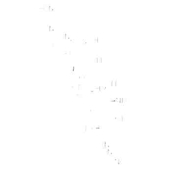 [N-]=[N+]=NC[C@@H](O)[C@@H](O)C1O[C@](OP(=O)(O)OC[C@H]2O[C@@H](n3ccc(N)nc3=O)[C@@H](O)C2O)(C(=O)O)C[C@@H](O)[C@H]1N